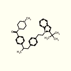 CC(Cc1ccc(CCn2c(C(C)(C)C)cc3ccccc32)cc1)c1ccc(C(=O)N2CCN(C)CC2)cc1